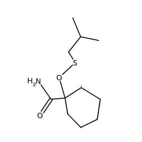 CC(C)CSOC1(C(N)=O)[CH]CCCC1